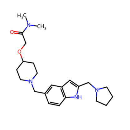 CN(C)C(=O)COC1CCN(Cc2ccc3[nH]c(CN4CCCC4)cc3c2)CC1